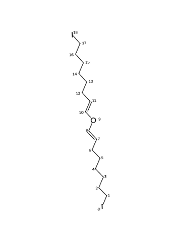 ICCCCCCC=COC=CCCCCCCI